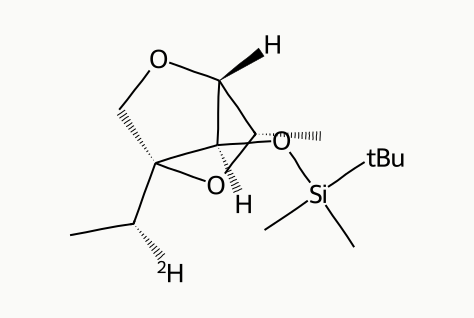 [2H][C@H](C)[C@]12CO[C@H]([C@H](C)O1)[C@H]2O[Si](C)(C)C(C)(C)C